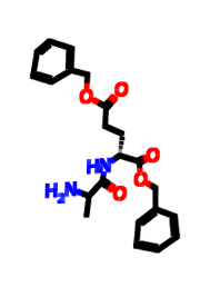 CC(N)C(=O)N[C@H](CCC(=O)OCc1ccccc1)C(=O)OCc1ccccc1